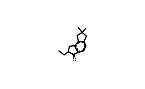 CCC1Cc2c(ccc3c2CC(C)(C)C3)C1=O